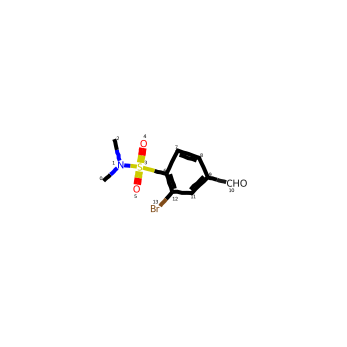 CN(C)S(=O)(=O)c1ccc(C=O)cc1Br